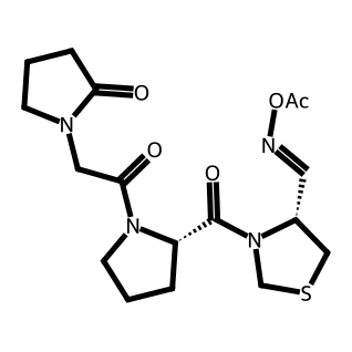 CC(=O)O/N=C/[C@@H]1CSCN1C(=O)[C@@H]1CCCN1C(=O)CN1CCCC1=O